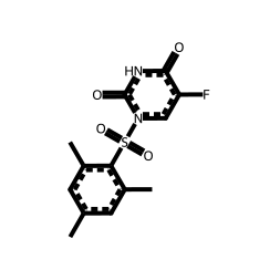 Cc1cc(C)c(S(=O)(=O)n2cc(F)c(=O)[nH]c2=O)c(C)c1